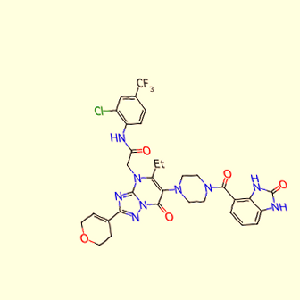 CCc1c(N2CCN(C(=O)c3cccc4[nH]c(=O)[nH]c34)CC2)c(=O)n2nc(C3=CCOCC3)nc2n1CC(=O)Nc1ccc(C(F)(F)F)cc1Cl